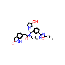 Cc1nc(-c2cccc([C@@H](CN3CCC(O)C3)N(C)C(=O)Cc3ccc4c(c3)NC(=O)C4)c2)no1